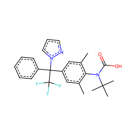 Cc1cc(C(c2ccccc2)(n2cccn2)C(F)(F)F)cc(C)c1N(C(=O)O)C(C)(C)C